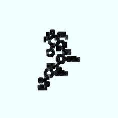 COc1cc(C(=O)NC2CCN(C(=O)OC(C)(C)C)CC2OC)ccc1Nc1ncc2c(n1)N(C1CCCC1)CC(F)(F)C(=O)N2C